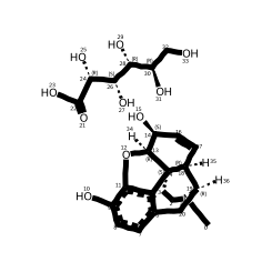 CN1CC[C@]23c4c5ccc(O)c4O[C@H]2[C@@H](O)C=C[C@H]3[C@H]1C5.O=C(O)[C@H](O)[C@@H](O)[C@H](O)[C@H](O)CO